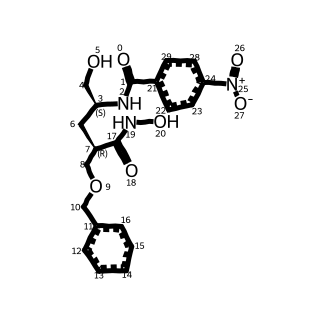 O=C(N[C@H](CO)C[C@H](COCc1ccccc1)C(=O)NO)c1ccc([N+](=O)[O-])cc1